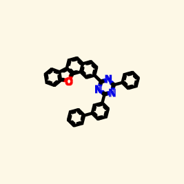 c1ccc(-c2cccc(-c3nc(-c4ccccc4)nc(-c4ccc5ccc6c7ccccc7oc6c5c4)n3)c2)cc1